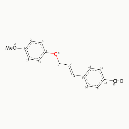 COc1ccc(OCC=Cc2ccc(C=O)cc2)cc1